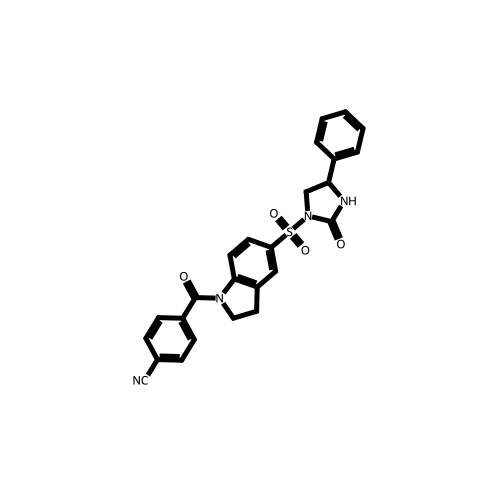 N#Cc1ccc(C(=O)N2CCc3cc(S(=O)(=O)N4CC(c5ccccc5)NC4=O)ccc32)cc1